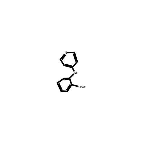 COc1ccccc1Nc1ccncc1